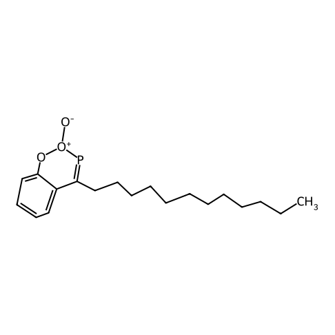 CCCCCCCCCCCCC1=P[O+]([O-])Oc2ccccc21